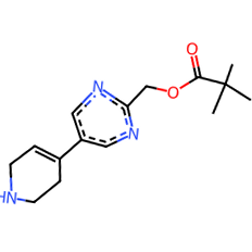 CC(C)(C)C(=O)OCc1ncc(C2=CCNCC2)cn1